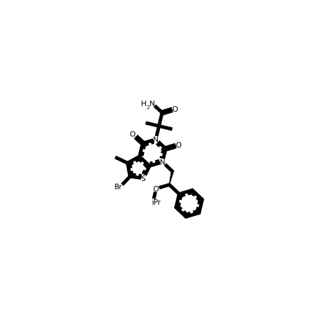 Cc1c(Br)sc2c1c(=O)n(C(C)(C)C(N)=O)c(=O)n2C[C@H](OC(C)C)c1ccccc1